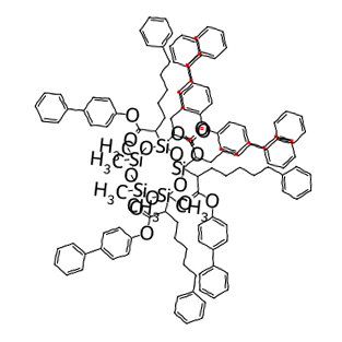 C[Si]1(C)O[Si](C)(C)O[Si](C(CCCCCc2ccccc2)C(=O)Oc2ccc(-c3ccccc3)cc2)(C(CCCCCc2ccccc2)C(=O)Oc2ccc(-c3ccccc3)cc2)O[Si](C(CCCCCc2ccccc2)C(=O)Oc2ccc(-c3ccccc3)cc2)(C(CCCCCc2ccccc2)C(=O)Oc2ccc(-c3ccccc3)cc2)O[Si](C)(C(CCCCCc2ccccc2)C(=O)Oc2ccc(-c3ccccc3)cc2)O1